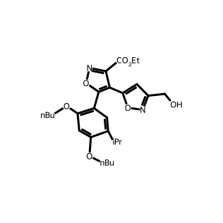 CCCCOc1cc(OCCCC)c(C(C)C)cc1-c1onc(C(=O)OCC)c1-c1cc(CO)no1